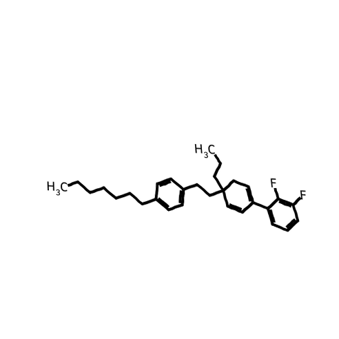 CCCCCCCc1ccc(CCC2(CCC)C=CC(c3cccc(F)c3F)=CC2)cc1